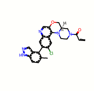 C=CC(=O)N1CCN2c3c(cnc4cc(-c5c(C)ccc6[nH]ncc56)c(Cl)cc34)OC[C@H]2C1